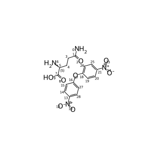 NC(=O)CC[C@H](N)C(=O)O.O=[N+]([O-])c1ccc(Oc2ccc([N+](=O)[O-])cc2)cc1